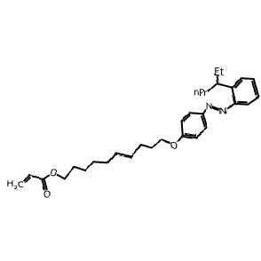 C=CC(=O)OCCCCCCCCCCOc1ccc(N=Nc2ccccc2C(CC)CCC)cc1